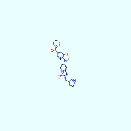 O=C(c1cnc2c(c1)OCCN2c1ccn2c(=O)n(Cc3cccnc3)nc2c1)N1CCCCC1